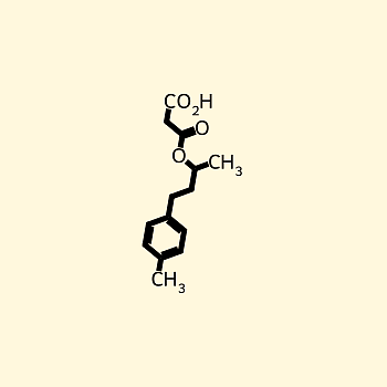 Cc1ccc(CCC(C)OC(=O)CC(=O)O)cc1